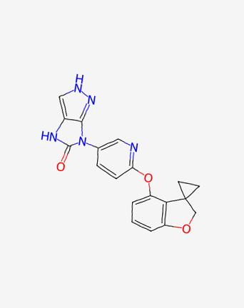 O=c1[nH]c2c[nH]nc2n1-c1ccc(Oc2cccc3c2C2(CC2)CO3)nc1